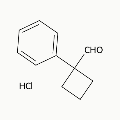 Cl.O=CC1(c2ccccc2)CCC1